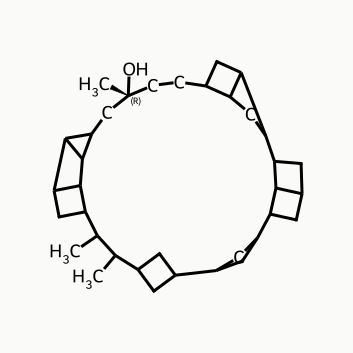 CC1C2CC(C2)C2CC(C2)C2CC3CC(C4CC5C(CC[C@@](C)(O)CC6C7C8CC(C1C)C8C67)CC54)C32